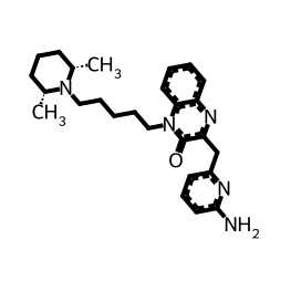 C[C@@H]1CCC[C@H](C)N1CCCCCn1c(=O)c(Cc2cccc(N)n2)nc2ccccc21